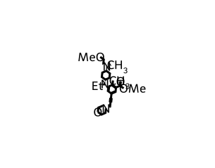 CCN(c1cc(C#CCN2CCOCC2)cc(C(=O)OC)c1C)[C@H]1CC[C@H](N(C)CCOC)CC1